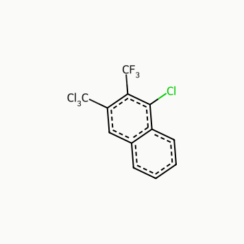 FC(F)(F)c1c(C(Cl)(Cl)Cl)cc2ccccc2c1Cl